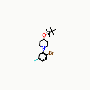 CC(C)(C)[Si](C)(C)OC1CCN(c2cc(F)ccc2Br)CC1